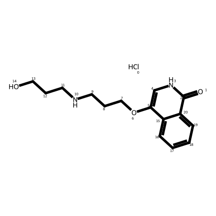 Cl.O=c1[nH]cc(OCCCNCCCO)c2ccccc12